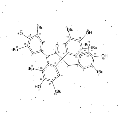 CC(C)(C)c1cc(CC(C(=O)Oc2cc(C(C)(C)C)c(O)c(C(C)(C)C)c2)(c2cc(C(C)(C)C)c(O)c(C(C)(C)C)c2)c2cc(C(C)(C)C)c(O)c(C(C)(C)C)c2)cc(C(C)(C)C)c1O